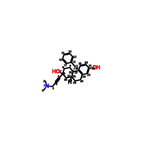 CN(C)CC#CC1(O)CC[C@@]2(Cc3ccccc3)c3ccc(O)cc3CC[C@@H]2C1